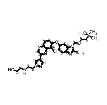 Cc1nc2ccc(Oc3ccc4ncc(-c5cnn(CCNCCO)c5)nc4c3Cl)cc2n1COCC[Si](C)(C)C